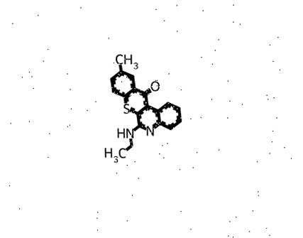 CCNc1nc2ccccc2c2c(=O)c3cc(C)ccc3sc12